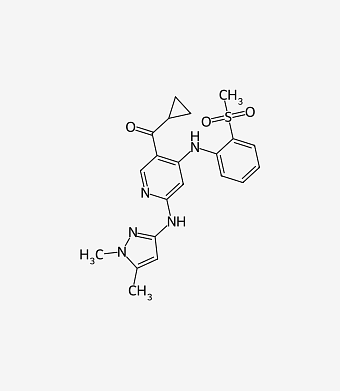 Cc1cc(Nc2cc(Nc3ccccc3S(C)(=O)=O)c(C(=O)C3CC3)cn2)nn1C